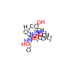 Cc1cc(O)cc(C)c1CC(NC(=O)OC(C)(C)C)C(=O)N1Cc2ccccc2C[C@@H]1C(=O)NCC(O)Cc1ccccc1